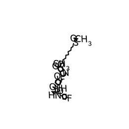 COc1cc2c(Oc3ccc(NC(=O)C4(C(=O)Nc5ccc(F)cc5)CC4)cc3F)ccnc2cc1OCCCCCCCCCCSC(C)=O